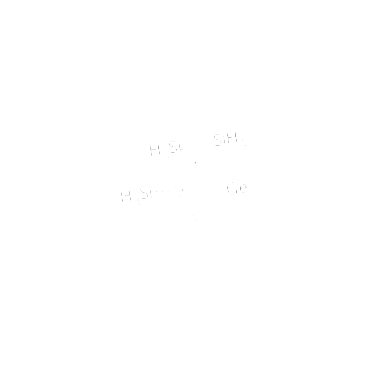 C=C([SiH3])[C]([SiH3])([SiH3])[Ge]